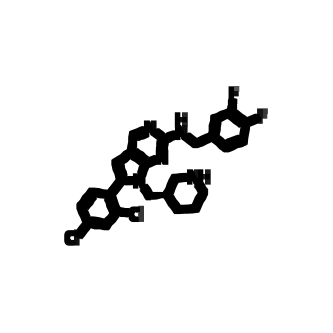 Fc1ccc(CNc2ncc3cc(-c4ccc(Cl)cc4Cl)n(C[C@@H]4CCCNC4)c3n2)cc1F